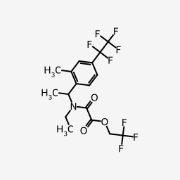 CCN(C(=O)C(=O)OCC(F)(F)F)C(C)c1ccc(C(F)(F)C(F)(F)F)cc1C